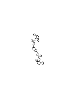 O=C(CCC1C(=O)C=CC1=O)OCC1CC2C3CC(COC(=O)CCC4C(=O)C=CC4=O)C(C3)C2C1